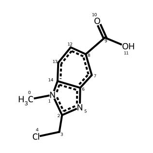 Cn1c(CCl)nc2cc(C(=O)O)ccc21